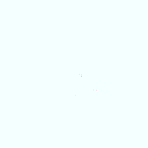 CC(C)CC1(C(=O)N2CCSCC2)CC1